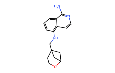 Nc1nccc2c(NCC34CCOC(C3)C4)cccc12